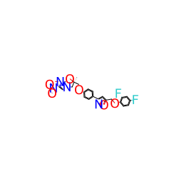 C[C@]1(COc2ccc(-c3cc(COc4ccc(F)cc4F)on3)cc2)Cn2cc([N+](=O)[O-])nc2O1